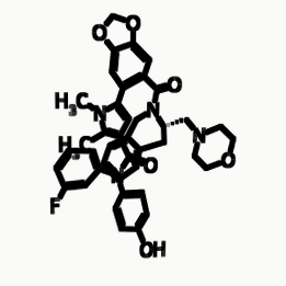 Cc1c(C(=O)N(c2ccc(O)cc2)c2cccc(F)c2)cc(-c2cc3c(cc2C(=O)N2Cc4ccccc4C[C@H]2CN2CCOCC2)OCO3)n1C